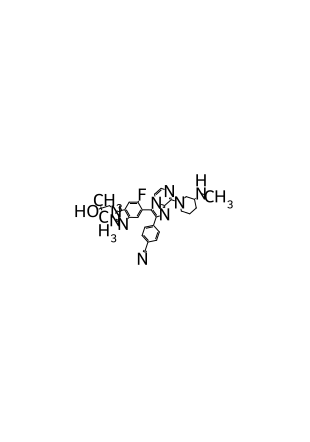 CN[C@@H]1CCCN(c2nccn3c(-c4cc5nnn(CC(C)(C)O)c5cc4F)c(-c4ccc(C#N)cc4)nc23)C1